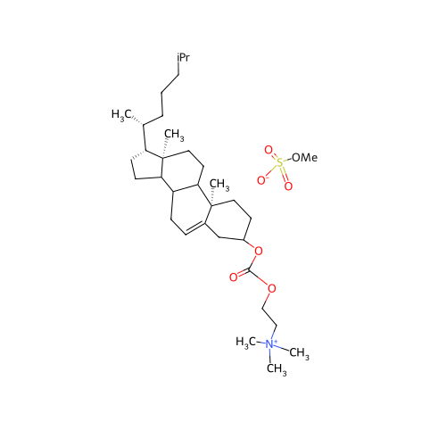 CC(C)CCC[C@@H](C)[C@H]1CCC2C3CC=C4CC(OC(=O)OCC[N+](C)(C)C)CC[C@]4(C)C3CC[C@@]21C.COS(=O)(=O)[O-]